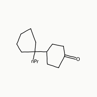 CCCC1(C2CCC(=O)CC2)CCCCC1